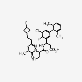 Cc1cccc(C)c1-c1cc(Cl)c(F)c(C(CC(=O)O)NC(=O)C(CC(C)C)n2nc(CCN3CC(F)C3)cc(C)c2=O)c1